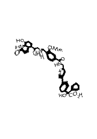 COc1cc(C(=O)NCc2cc(-c3ccc(C(O)(C(=O)O)c4ccccc4)cc3)cs2)ccc1CNCC(O)c1ccc(O)c2[nH]c(=O)ccc12